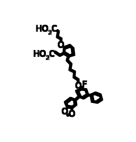 O=C(O)CCCOc1cccc(CCCCCCOC2(F)C=C(c3ccc4c(c3)OCO4)C=C(c3ccccc3)C2)c1CCC(=O)O